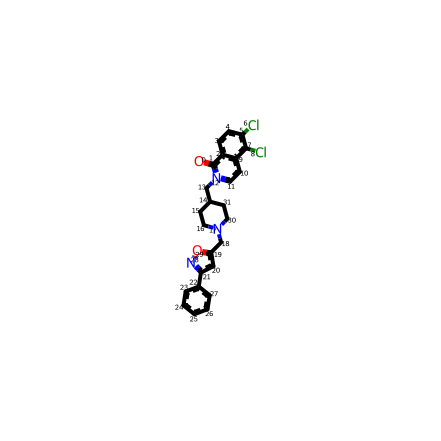 O=c1c2ccc(Cl)c(Cl)c2ccn1CC1CCN(Cc2cc(-c3ccccc3)no2)CC1